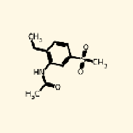 CCc1ccc(S(C)(=O)=O)cc1NC(C)=O